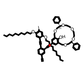 C#Cc1ccc(C#Cc2cc(OCCCCCCCCCC)c(I)cc2OCCCCCCCCCC)c(C#Cc2cc3c(O)c(c2)COC[C@H](c2ccccc2)OCCOCCO[C@@H](c2ccccc2)COC3)c1